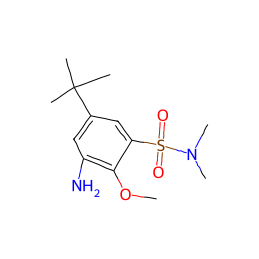 COc1c(N)cc(C(C)(C)C)cc1S(=O)(=O)N(C)C